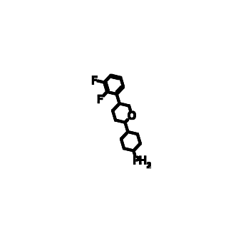 Fc1cccc(C2CCC(C3CCC(P)CC3)OC2)c1F